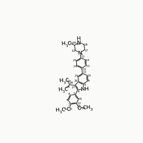 COc1ccc(-c2[nH]c3ccc(-c4ccc(N5CCNC(C)C5)cc4)cc3c2C(C)C)cc1OC